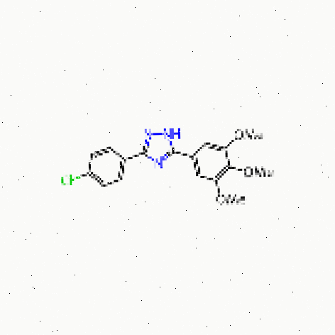 COc1cc(-c2nc(-c3ccc(Cl)cc3)n[nH]2)cc(OC)c1OC